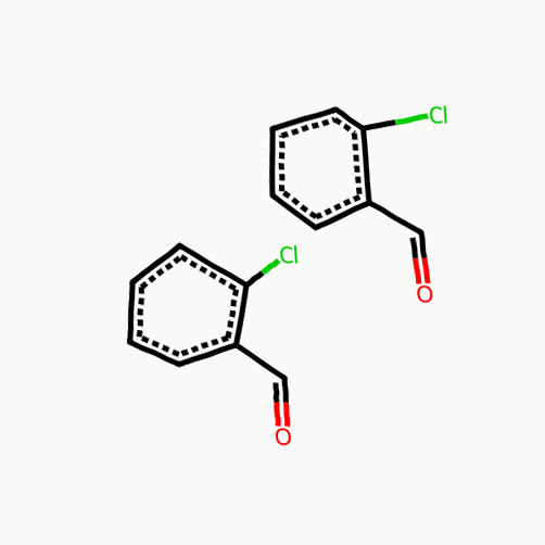 O=Cc1ccccc1Cl.O=Cc1ccccc1Cl